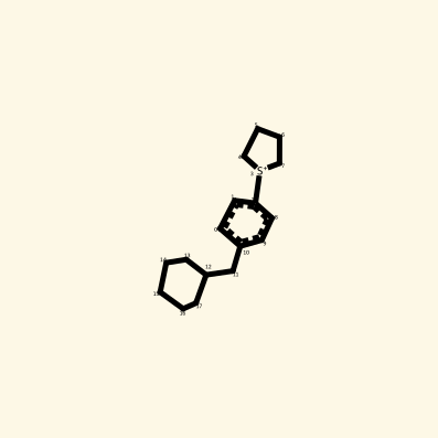 c1cc([S+]2CCCC2)ccc1CC1CCCCC1